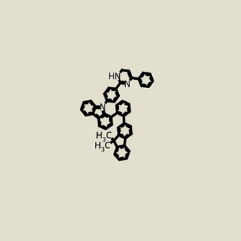 CC1(C)c2ccccc2-c2ccc(-c3ccccc3-c3cccc4c5ccccc5n(-c5ccc(C6=NC(c7ccccc7)=CCN6)cc5)c34)cc21